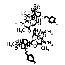 C[C@@H](C(=O)N[C@@H](CCCC[C@H](NC(=O)[C@H](C)N(C)C(=O)OC(C)(C)C)C(=O)N1CC[C@@H]2[C@H]1[C@@H](OCc1ccc(F)cc1)CN2S(C)(=O)=O)C(=O)N1CC[C@@H]2[C@H]1[C@@H](OCc1ccc(F)cc1)CN2S(C)(=O)=O)N(C)C(=O)OC(C)(C)C